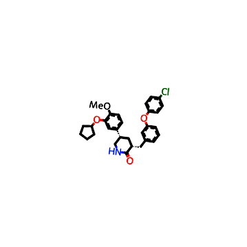 COc1ccc([C@H]2CNC(=O)[C@@H](Cc3cccc(Oc4ccc(Cl)cc4)c3)C2)cc1OC1CCCC1